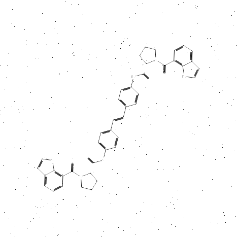 O=C(Nc1ccc(/C=C/c2ccc(NC(=O)[C@@H]3CCCN3C(=O)c3cccc4cc[nH]c34)cc2)cc1)[C@@H]1CCCN1C(=O)c1cccc2cc[nH]c12